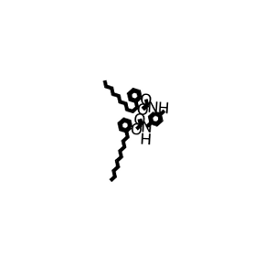 CCCCCCCCCCc1ccccc1OC(=O)Nc1ccc(C)c(NC(=O)Oc2ccccc2CCCCCCCCCC)c1